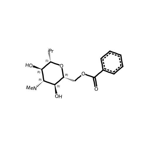 CN[C@@H]1[C@@H](O)[C@H](C(C)C)O[C@H](COC(=O)c2ccccc2)[C@H]1O